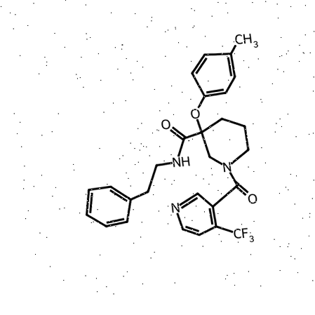 Cc1ccc(OC2(C(=O)NCCc3ccccc3)CCCN(C(=O)c3cnccc3C(F)(F)F)C2)cc1